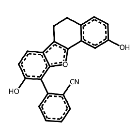 N#Cc1ccccc1-c1c(O)ccc2c3c(oc12)-c1cc(O)ccc1CC3